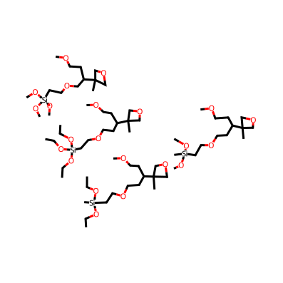 CCO[Si](C)(CCOCCC(CCOC)C1(C)COC1)OCC.CCO[Si](CCOCCC(CCOC)C1(C)COC1)(OCC)OCC.COCCC(CCOCC[Si](C)(OC)OC)C1(C)COC1.COCCC(COCC[Si](OC)(OC)OC)C1(C)COC1